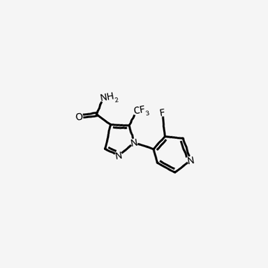 NC(=O)c1cnn(-c2ccncc2F)c1C(F)(F)F